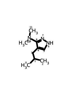 CC(C)Cc1c[nH]nc1N(C)C